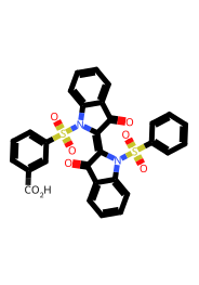 O=C(O)c1cccc(S(=O)(=O)N2/C(=C3\C(=O)c4ccccc4N3S(=O)(=O)c3ccccc3)C(=O)c3ccccc32)c1